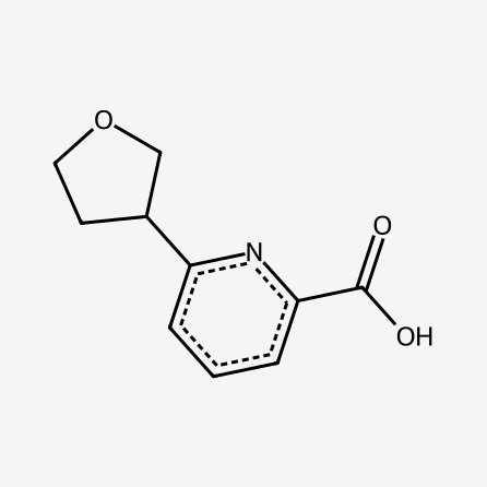 O=C(O)c1cccc(C2CCOC2)n1